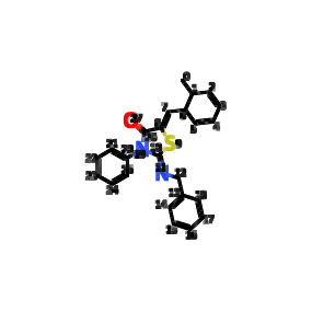 CC1C=CC=CC1/C=C1\S/C(=N\Cc2ccccc2)N(c2ccccc2)C1=O